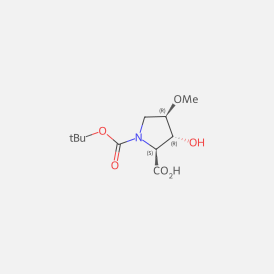 CO[C@@H]1CN(C(=O)OC(C)(C)C)[C@H](C(=O)O)[C@H]1O